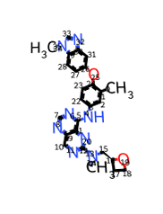 Cc1cc(Nc2ncnc3cnc(N(C)C[C@@H]4CCO4)nc23)ccc1Oc1ccc2c(c1)ncn2C